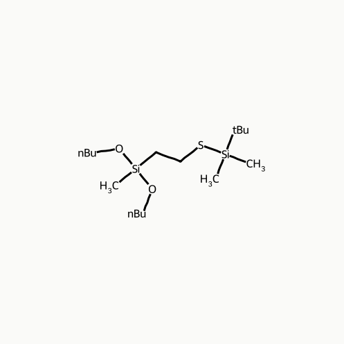 CCCCO[Si](C)(CCS[Si](C)(C)C(C)(C)C)OCCCC